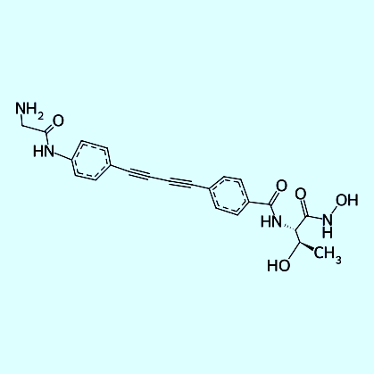 C[C@@H](O)[C@H](NC(=O)c1ccc(C#CC#Cc2ccc(NC(=O)CN)cc2)cc1)C(=O)NO